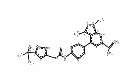 C=C(C)c1cc(-c2ccc(NC(=O)Nc3cc(C(C)(C)C)on3)cc2)c2c(N)nn(C)c2n1